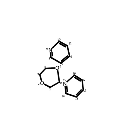 C1COCCO1.c1ccncc1.c1ccncc1